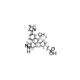 CCC(=C(c1ccc(C=CC(=O)O)cc1)c1ccc2[nH]ncc2c1)c1cccc(-c2cscn2)c1